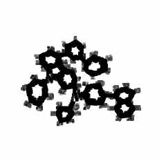 c1ccc(-c2cccc(-c3cccc4c3c3ccc(N(c5ccccc5)c5ccc(-c6cccc7ccccc67)cc5)cc3n4-c3ccccc3)c2)cc1